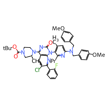 COc1ccc(CN(Cc2ccc(OC)cc2)c2cc(C)c(-n3c(=O)nc(N4CCN(C(=O)OC(C)(C)C)C[C@@H]4C)c4cc(Cl)c(-c5ccccc5F)nc43)c(C(C)C)n2)cc1